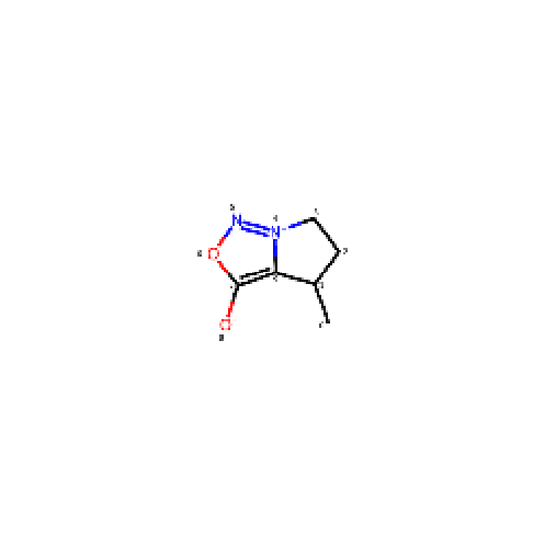 CC1CC[n+]2noc([O-])c21